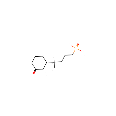 C[C@@H]1C(=O)CCC[C@H]1C(C)(C)CCCP(=O)(O)O